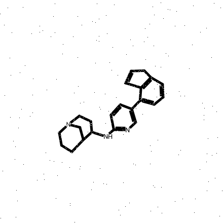 C1=Cc2c(cccc2-c2ccc(NC3CCN4CCCC3C4)nc2)C1